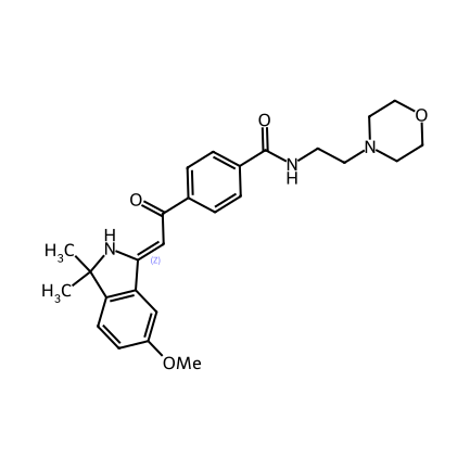 COc1ccc2c(c1)/C(=C/C(=O)c1ccc(C(=O)NCCN3CCOCC3)cc1)NC2(C)C